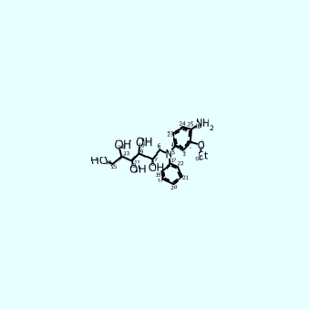 CCOc1cc(N(CC(O)C(O)C(O)C(O)CO)c2ccccc2)ccc1N